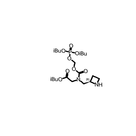 CC(C)COC(=O)CN(C[C@H]1CCN1)C(=O)OCOP(=O)(OCC(C)C)OCC(C)C